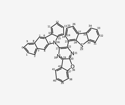 c1ccc2cc3c(cc2c1)c1ccccc1n3-c1nc2c(nc1-c1cccc3c1sc1ccccc13)oc1ccccc12